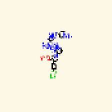 OCC1(c2ccc(Cl)cc2)CCN(c2cccn3nc(Nc4cnn(CC5CCNCC5)c4)nc23)CC1